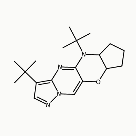 CC(C)(C)c1cnn2cc3c(nc12)N(C(C)(C)C)C1CCCC1O3